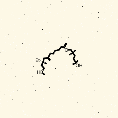 C=C(CCCCCC(=C)OCC(C)(C)CCC(C)(C)O)C[C@](C)(CC)CCBC